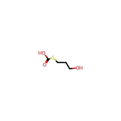 O=C(O)SCCCO